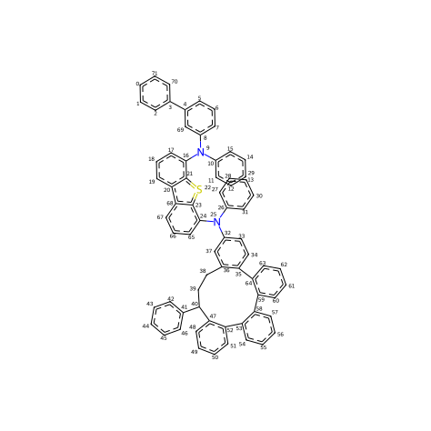 c1ccc(-c2cccc(N(c3ccccc3)c3cccc4c3sc3c(N(c5ccccc5)c5ccc6c(c5)CCC(c5ccccc5)c5ccccc5-c5ccccc5-c5ccccc5-6)cccc34)c2)cc1